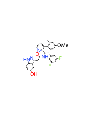 COc1ccc(-c2cccnc2C(Cc2cc(F)cc(F)c2)NC(=O)Cc2n[nH]c3ccc(O)cc23)c(C)c1